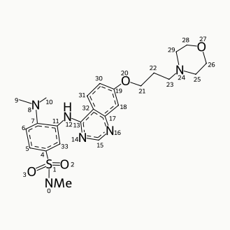 CNS(=O)(=O)c1ccc(N(C)C)c(Nc2ncnc3cc(OCCCN4CCOCC4)ccc23)c1